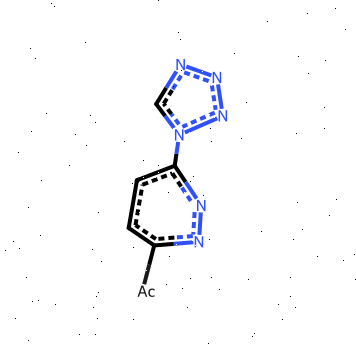 CC(=O)c1ccc(-n2cnnn2)nn1